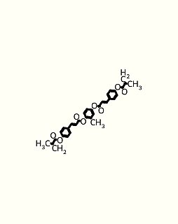 C=C(C)C(=O)Oc1ccc(/C=C/C(=O)Oc2ccc(OC(=O)/C=C/c3ccc(OC(=O)C(=C)C)cc3)c(C)c2)cc1